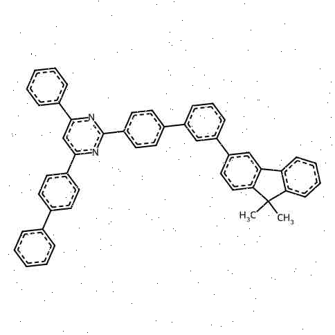 CC1(C)c2ccccc2-c2cc(-c3cccc(-c4ccc(-c5nc(-c6ccccc6)cc(-c6ccc(-c7ccccc7)cc6)n5)cc4)c3)ccc21